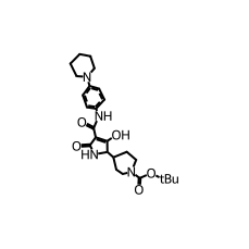 CC(C)(C)OC(=O)N1CCC(C2NC(=O)C(C(=O)Nc3ccc(N4CCCCC4)cc3)=C2O)CC1